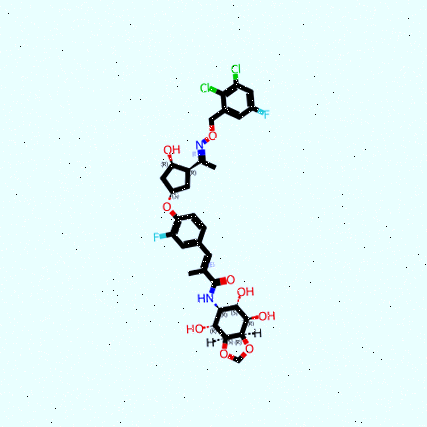 C/C(=C\c1ccc(O[C@@H]2C[C@@H](O)[C@@H](/C(C)=N/OCc3cc(F)cc(Cl)c3Cl)C2)c(F)c1)C(=O)N[C@@H]1[C@H](O)[C@@H](O)[C@H]2OCO[C@H]2[C@@H]1O